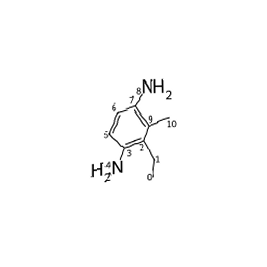 CCc1c(N)ccc(N)c1C